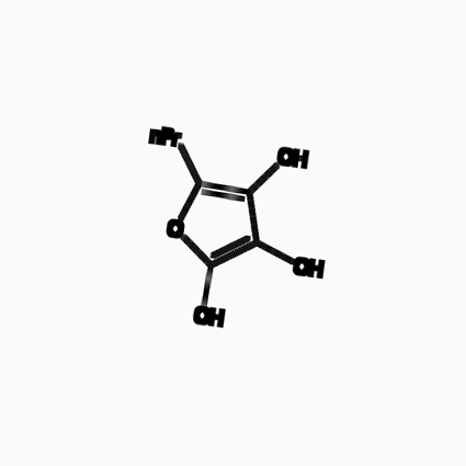 CCCc1oc(O)c(O)c1O